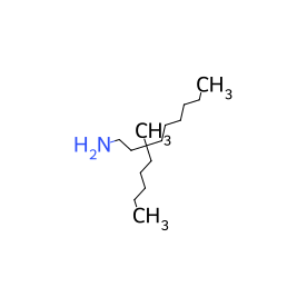 CCCCCCC(C)(CCN)CCCCC